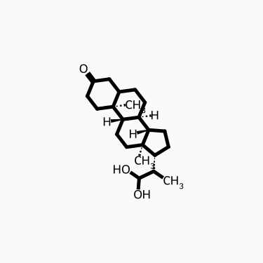 CC(C(O)O)[C@H]1CC[C@H]2[C@@H]3CCC4CC(=O)CC[C@]4(C)[C@H]3CC[C@]12C